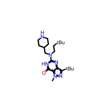 Cn1nc(C(C)(C)C)c2nc(N(CCC(C)(C)C)CC3CCNCC3)[nH]c(=O)c21